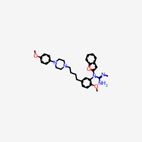 CN=C(N)N(c1cc2ccccc2o1)c1cc(CCCCN2CCN(c3ccc(OC)cc3)CC2)ccc1OC